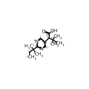 CCC(C)(C)c1ncc(C(C(=O)O)C(C)(C)C)cn1